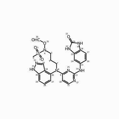 CS(=O)(=O)N(CCCN(c1ccnc(Nc2ccc3[nH]c(=O)[nH]c3c2)n1)c1cccc2[nH]ncc12)OC=O